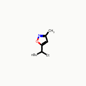 CCCCC(CC)c1cc(C)no1